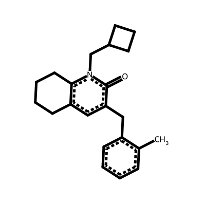 Cc1ccccc1Cc1cc2c(n(CC3CCC3)c1=O)CCCC2